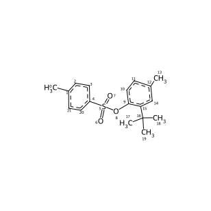 Cc1ccc(S(=O)(=O)Oc2ccc(C)cc2C(C)(C)C)cc1